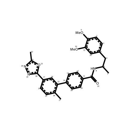 COc1ccc(CC(C)NC(=O)c2ccc(-c3cc(-c4nnc(C)o4)ccc3C)cc2)cc1OC